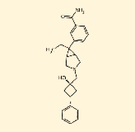 CCC1(c2cccc(C(N)=O)c2)C2CN(C[C@]3(O)C[C@H](c4ccccc4)C3)CC21